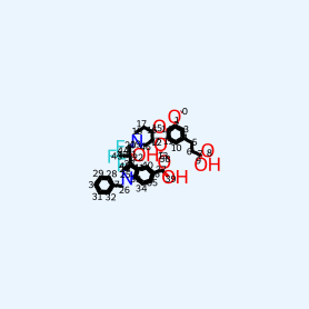 COc1cc(CCC(=O)O)cc(OC)c1OC1CCN(CC(O)(c2cn(Cc3ccccc3)c3ccc(C(=O)O)cc23)C(F)(F)F)CC1